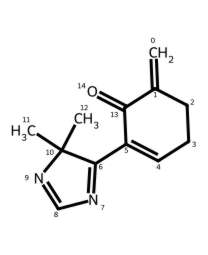 C=C1CCC=C(C2=NC=NC2(C)C)C1=O